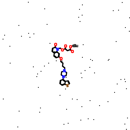 CC(C)(C)OC(=O)CC(=O)OCn1c(=O)ccc2ccc(OCCCCN3CCN(c4cccc5sccc45)CC3)cc21